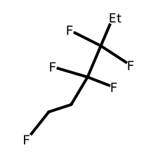 [CH2]CC(F)(F)C(F)(F)CCF